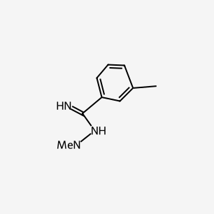 CNNC(=N)c1cccc(C)c1